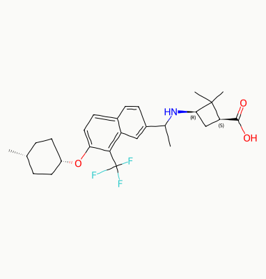 CC(N[C@@H]1C[C@H](C(=O)O)C1(C)C)c1ccc2ccc(O[C@H]3CC[C@@H](C)CC3)c(C(F)(F)F)c2c1